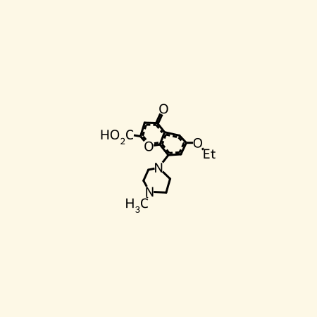 CCOc1cc(N2CCN(C)CC2)c2oc(C(=O)O)cc(=O)c2c1